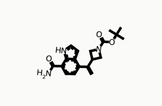 C=C(c1ccc(C(N)=O)c2[nH]ccc12)C1CN(C(=O)OC(C)(C)C)C1